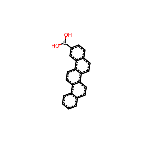 OB(O)c1ccc2ccc3c(ccc4c5ccccc5ccc43)c2c1